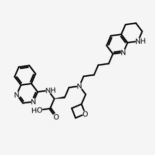 O=C(O)[C@H](CCN(CCCCc1ccc2c(n1)NCCC2)CC1CCO1)Nc1ncnc2ccccc12